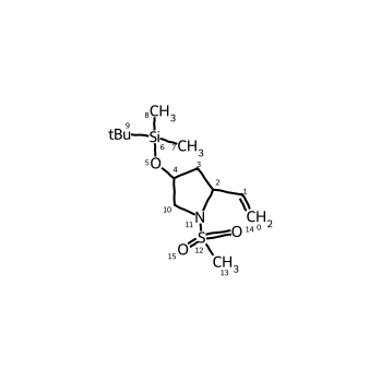 C=CC1CC(O[Si](C)(C)C(C)(C)C)CN1S(C)(=O)=O